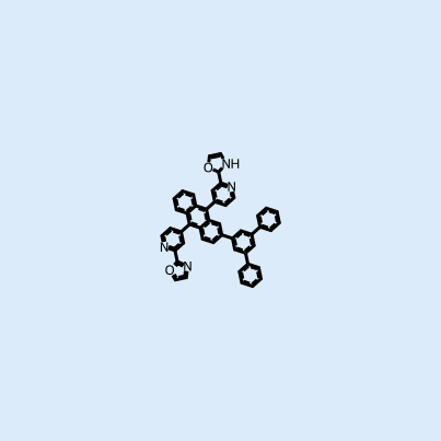 C1=COC(c2cc(-c3c4ccccc4c(-c4ccnc(-c5ncco5)c4)c4ccc(-c5cc(-c6ccccc6)cc(-c6ccccc6)c5)cc34)ccn2)N1